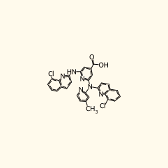 Cc1ccnc(N(c2cc(C(=O)O)cc(Nc3ccc4cccc(Cl)c4n3)n2)c2ccc3cccc(Cl)c3n2)c1